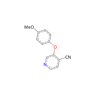 COc1ccc(Oc2cnccc2C#N)cc1